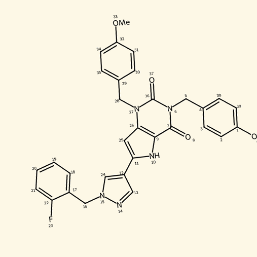 COc1ccc(Cn2c(=O)c3[nH]c(-c4cnn(Cc5ccccc5F)c4)cc3n(Cc3ccc(OC)cc3)c2=O)cc1